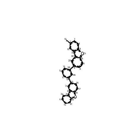 Ic1ccc2oc3ccc(-c4cccc(-c5ccc6oc7ccccc7c6c5)c4)cc3c2c1